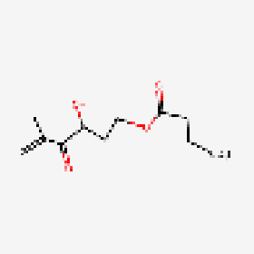 C=C(C)C(=O)C(O)CCOC(=O)CCC(=O)O